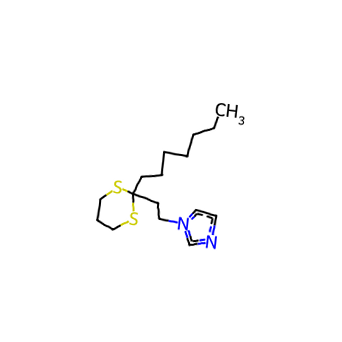 CCCCCCCC1(CCn2ccnc2)SCCCS1